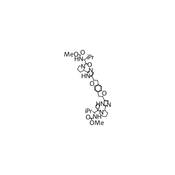 COC(=O)NC(C(=O)N1CCCC1c1ncc(C2Cc3cc4c(cc3O2)CC(c2cnc(C3CCCN3C(=O)C(NC(=O)OC)C(C)C)[nH]2)O4)[nH]1)C(C)C